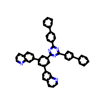 c1ccc(-c2ccc(-c3nc(-c4ccc(-c5ccccc5)cc4)nc(-c4cc(-c5ccc6cccnc6c5)cc(-c5ccc6cccnc6c5)c4)n3)cc2)cc1